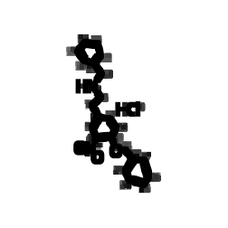 Cl.O=[N+]([O-])c1cc(CCNCc2ccccc2)ccc1OCc1ccccc1